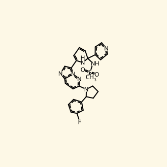 CS(=O)(=O)NC1(c2ccncc2)C=CC=C(c2cnc3ccc(N4CCCC4c4cccc(F)c4)nn23)N1